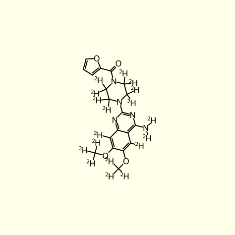 [2H]c1c(OC([2H])([2H])[2H])c(OC([2H])([2H])[2H])c([2H])c2c(N([2H])[2H])nc(N3C([2H])([2H])C([2H])([2H])N(C(=O)c4ccco4)C([2H])([2H])C3([2H])[2H])nc12